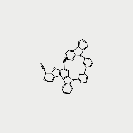 N#Cc1cccc2c1oc1c(C#N)cc3c(c4ccccc4n3-c3cccc(-c4cccc(-n5c6ccccc6c6ccccc65)c4)c3)c12